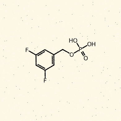 O=P(O)(O)OCc1cc(F)cc(F)c1